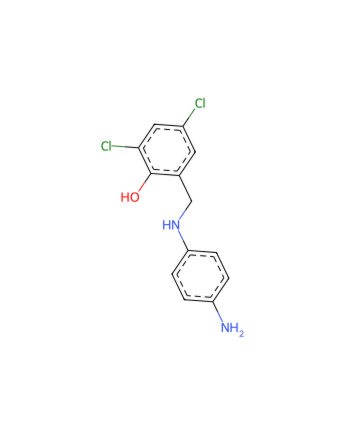 Nc1ccc(NCc2cc(Cl)cc(Cl)c2O)cc1